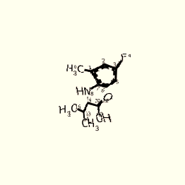 Cc1cc(F)ccc1N[C@H](C(=O)O)C(C)C